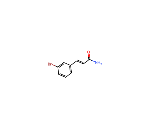 NC(=O)C=Cc1cccc(Br)c1